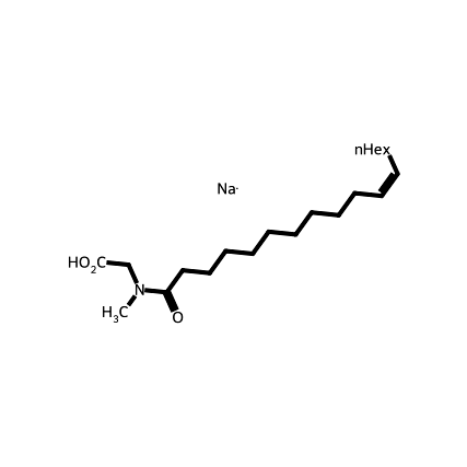 CCCCCC/C=C\CCCCCCCCCC(=O)N(C)CC(=O)O.[Na]